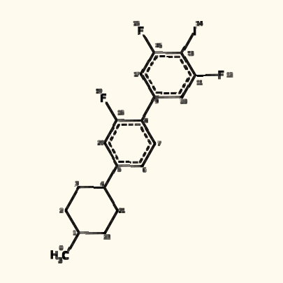 CC1CCC(c2ccc(-c3cc(F)c(I)c(F)c3)c(F)c2)CC1